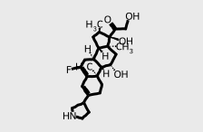 C[C@@H]1C[C@H]2[C@@H]3CC(F)=C4C=C(C5CCNC5)CC[C@]4(C)[C@H]3[C@@H](O)C[C@]2(C)[C@@]1(O)C(=O)CO